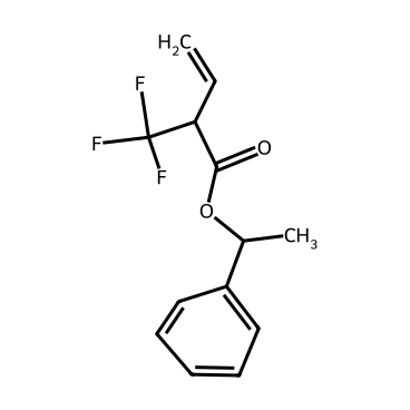 C=CC(C(=O)OC(C)c1ccccc1)C(F)(F)F